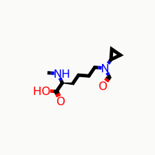 CN[C@@H](CCCCN(C=O)C1CC1)C(=O)O